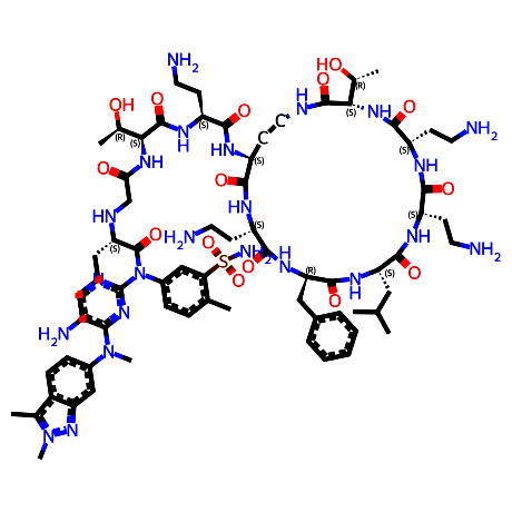 Cc1ccc(N(C(=O)[C@H](CCCCN)NCC(=O)N[C@H](C(=O)N[C@@H](CCN)C(=O)N[C@H]2CCNC(=O)[C@H]([C@@H](C)O)NC(=O)[C@H](CCN)NC(=O)[C@H](CCN)NC(=O)[C@H](CC(C)C)NC(=O)[C@@H](Cc3ccccc3)NC(=O)[C@H](CCN)NC2=O)[C@@H](C)O)c2nccc(N(C)c3ccc4c(C)n(C)nc4c3)n2)cc1S(N)(=O)=O